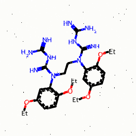 CCOc1ccc(OCC)c(N(CCN(C(=N)NC(=N)N)c2cc(OCC)ccc2OCC)C(=N)NC(=N)N)c1